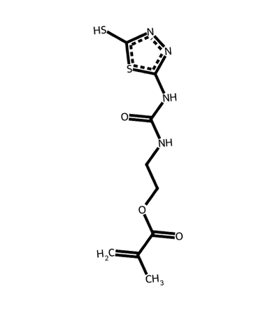 C=C(C)C(=O)OCCNC(=O)Nc1nnc(S)s1